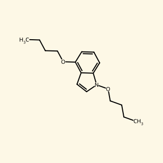 CCCCOc1cccc2c1ccn2OCCCC